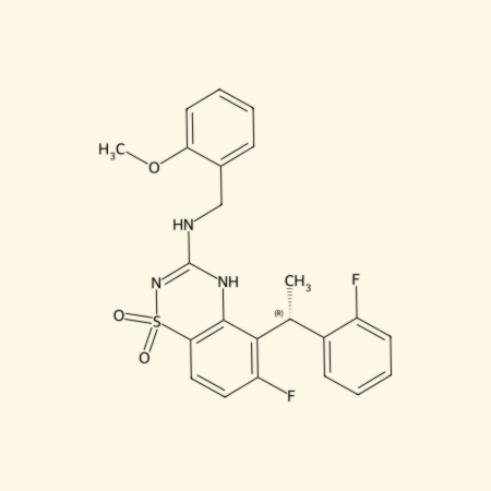 COc1ccccc1CNC1=NS(=O)(=O)c2ccc(F)c([C@H](C)c3ccccc3F)c2N1